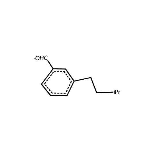 CC(C)CCc1cccc([C]=O)c1